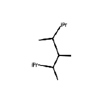 CC(C)C(C)C(C)C(C)C(C)C